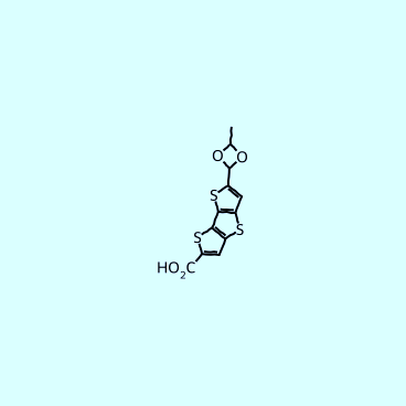 CC1OC(c2cc3sc4cc(C(=O)O)sc4c3s2)O1